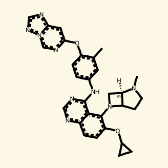 Cc1cc(Nc2ncnc3ccc(OC4CC4)c(N4C[C@@H]5C4CCN5C)c23)ccc1Oc1cc2ncnn2cn1